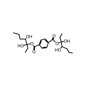 CCCC(O)C(O)(CC)OC(=O)c1ccc(C(=O)OC(O)(CC)C(O)CCC)cc1